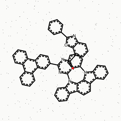 c1ccc(-c2nc3cccc(-c4nc(-c5ccc6c7ccccc7c7ccccc7c6c5)nc(-n5c6ccccc6c6ccc7c8ccccc8n(-c8ccccc8)c7c65)n4)c3o2)cc1